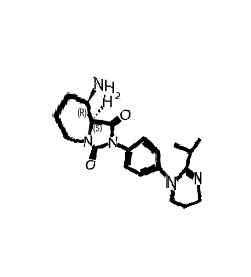 CC(C)C1=NCCCN1c1ccc(N2C(=O)[C@@H]3[C@H](N)CCCN3C2=O)cc1